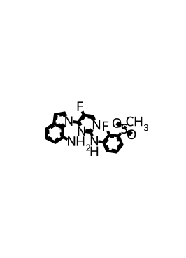 CS(=O)(=O)c1cccc(Nc2ncc(F)c(-n3ccc4cccc(N)c43)n2)c1F